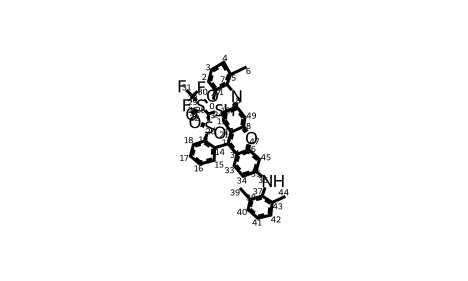 Cc1cccc(C)c1/N=c1\ccc2c(-c3ccccc3S(=O)(=O)C(S)S(=O)(=O)C(F)(F)F)c3ccc(Nc4c(C)cccc4C)cc3oc-2c1